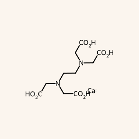 O=C(O)CN(CCN(CC(=O)O)CC(=O)O)CC(=O)O.[Ca]